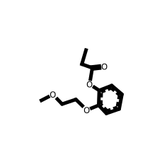 CCC(=O)Oc1ccccc1OCCOC